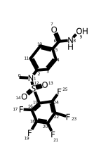 CN(c1ccc(C(=O)NO)cc1)S(=O)(=O)c1c(F)c(F)c(F)c(F)c1F